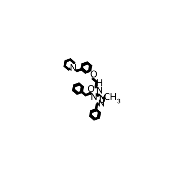 CN(N=Cc1ccccc1)C(=NC(=O)Cc1ccccc1)NCCCOc1cccc(CN2CCCCC2)c1